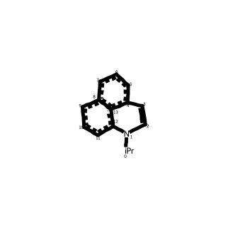 CC(C)N1C=Cc2cccc3cccc1c23